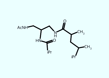 CC(=O)NCC(CNC(=O)C(C)CC(C)C(C)C)NC(=O)C(C)C